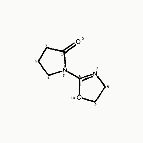 O=C1CCCN1C1=NCCO1